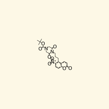 CC(C)(C)OC(=O)N1CC(=O)N(CCCc2c([N+](=O)[O-])ccc3oc(=O)ccc23)C(=O)C1